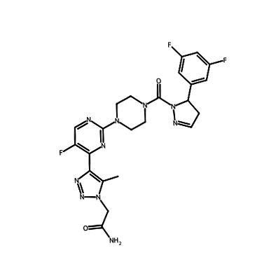 Cc1c(-c2nc(N3CCN(C(=O)N4N=CCC4c4cc(F)cc(F)c4)CC3)ncc2F)nnn1CC(N)=O